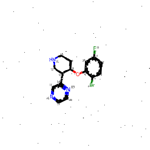 Fc1ccc(Br)c(OC2CCNCC2c2cn[c]cn2)c1